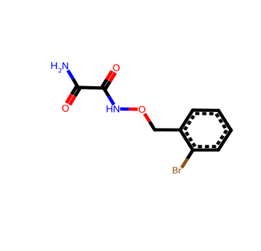 NC(=O)C(=O)NOCc1ccccc1Br